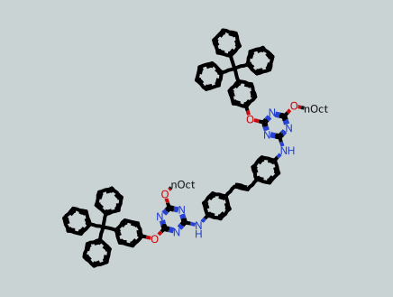 CCCCCCCCOc1nc(Nc2ccc(C=Cc3ccc(Nc4nc(OCCCCCCCC)nc(Oc5ccc(C(c6ccccc6)(c6ccccc6)c6ccccc6)cc5)n4)cc3)cc2)nc(Oc2ccc(C(c3ccccc3)(c3ccccc3)c3ccccc3)cc2)n1